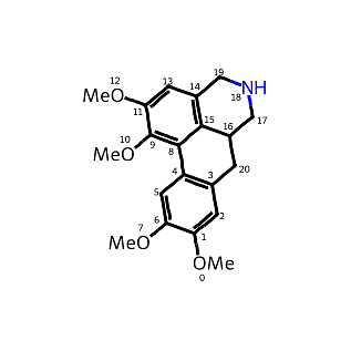 COc1cc2c(cc1OC)-c1c(OC)c(OC)cc3c1C(CNC3)C2